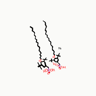 CCCCCCCCCCCCCCCCCCOc1c(C(C)(C)C)cc(CP(=O)(O)O)cc1C(C)(C)C.CCCCCCCCCCCCCCCCCCOc1c(C(C)(C)C)cc(CP(=O)(O)O)cc1C(C)(C)C.[Ni]